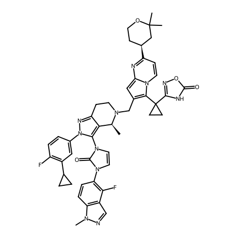 C[C@H]1c2c(nn(-c3ccc(F)c(C4CC4)c3)c2-n2ccn(-c3ccc4c(cnn4C)c3F)c2=O)CCN1Cc1cc2nc([C@H]3CCOC(C)(C)C3)ccn2c1C1(c2noc(=O)[nH]2)CC1